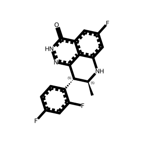 C[C@@H]1Nc2cc(F)cc3c(=O)[nH]nc(c23)[C@H]1c1ccc(F)cc1F